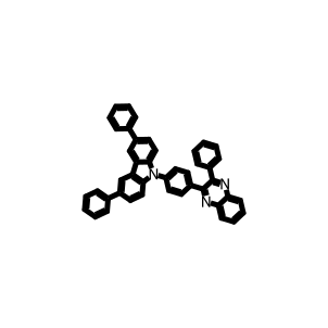 c1ccc(-c2ccc3c(c2)c2cc(-c4ccccc4)ccc2n3-c2ccc(-c3nc4ccccc4nc3-c3ccccc3)cc2)cc1